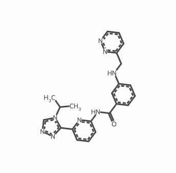 CC(C)n1cnnc1-c1cccc(NC(=O)c2cccc(NCc3cccnn3)c2)n1